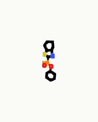 O=[PH](Oc1ccccc1)c1nc2ccccc2s1